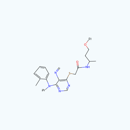 C=Nc1c(SCC(=O)NC(C)CCOCC)ncnc1N(c1ccccc1C)C(C)C